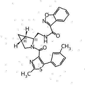 Cc1cccc(-c2sc(C)nc2C(=O)N2C[C@@H]3C[C@@H]3[C@H]2CNC(=O)c2noc3ccccc23)c1